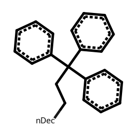 [CH2]CCCCCCCCCCCC(c1ccccc1)(c1ccccc1)c1ccccc1